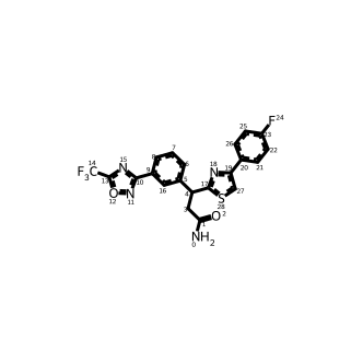 NC(=O)CC(c1cccc(-c2noc(C(F)(F)F)n2)c1)c1nc(-c2ccc(F)cc2)cs1